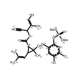 C#CC(OC(=O)[C@@H]1C(C=C(C)C)C1(C)C)/C(C)=C/CC.COP(=S)(OC)Oc1nc(Cl)c(Cl)cc1Cl